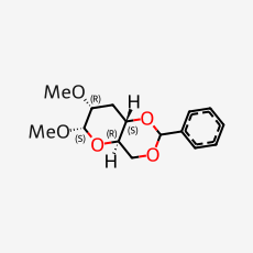 CO[C@H]1O[C@@H]2COC(c3ccccc3)O[C@H]2C[C@H]1OC